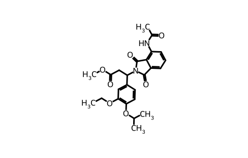 CCOc1cc(C(CC(=O)OC)N2C(=O)c3cccc(NC(C)=O)c3C2=O)ccc1OC(C)C